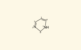 [C]1N=CC=[C]N1